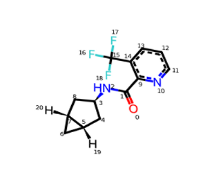 O=C(N[C@H]1C[C@@H]2C[C@@H]2C1)c1ncccc1C(F)(F)F